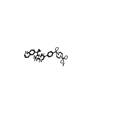 CCOC(=O)N1CCN(C(=O)c2ccc(-c3cnc4nnc(C5(c6ccc7ncccc7c6)C=C5)n4n3)cc2)CC1